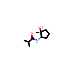 CC(C)C(=O)N[C@@H]1CCC[C@@]1(C)O